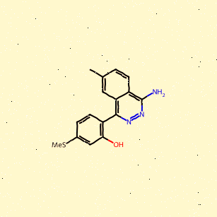 CSc1ccc(-c2nnc(N)c3ccc(C)cc23)c(O)c1